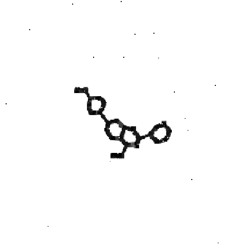 CNc1nc(-c2cccnc2)nc2cc(-c3ccc(OC)cc3)ccc12